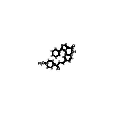 CN1CCN(C(=O)CCc2ccc3[nH]c(=O)c4cnc(C5CCCCC5)n4c3c2)CC1